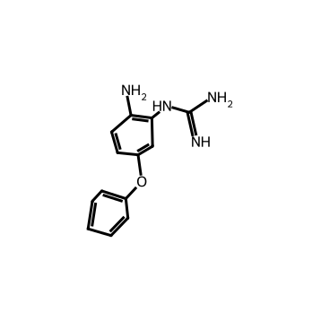 N=C(N)Nc1cc(Oc2ccccc2)ccc1N